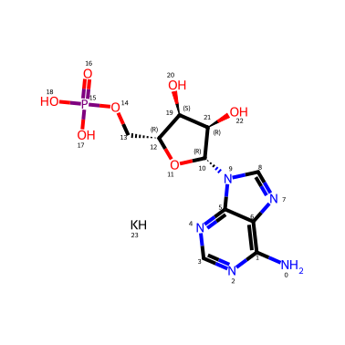 Nc1ncnc2c1ncn2[C@@H]1O[C@H](COP(=O)(O)O)[C@@H](O)[C@H]1O.[KH]